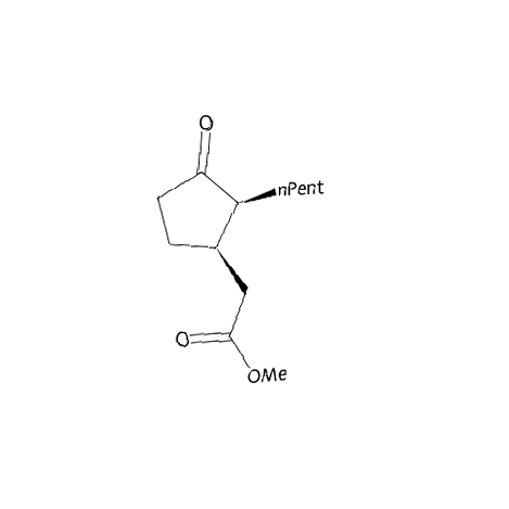 CCCCC[C@@H]1C(=O)CC[C@@H]1CC(=O)OC